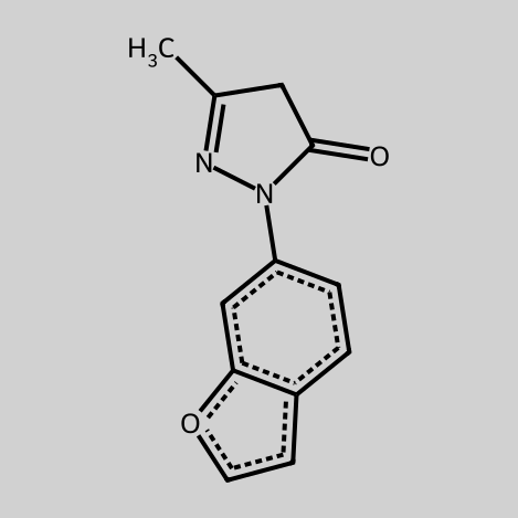 CC1=NN(c2ccc3ccoc3c2)C(=O)C1